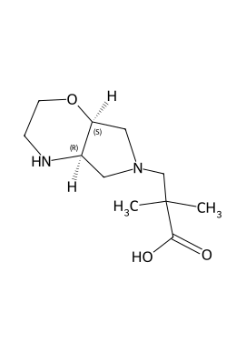 CC(C)(CN1C[C@@H]2OCCN[C@@H]2C1)C(=O)O